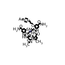 CCc1nc(C)sc1C(=O)Nc1nc2cc(C(N)=O)cc(SC)c2n1C/C=C/Cn1c(NC(=O)c2cc(C)nn2CC)nc2cc(C(N)=O)cc(OCCCN3CCN(C(C)=O)CC3)c21